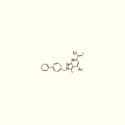 C/C=C(\CC)c1cc(C(C)=O)c2c(C)n(CC3=CC=C(C4=CCCC=C4)C=CC3)nc2n1